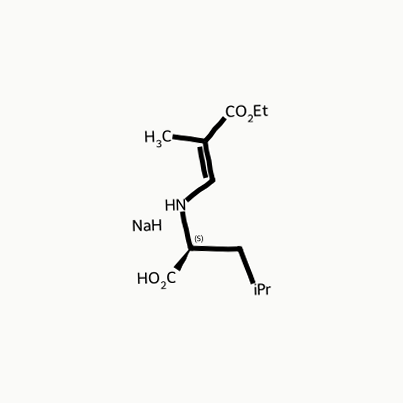 CCOC(=O)C(C)=CN[C@@H](CC(C)C)C(=O)O.[NaH]